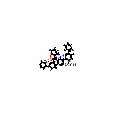 Cc1cc(B(O)O)c(-c2cccc3c2Nc2ccccc2C3(O)c2cccc3c2oc2ccccc23)cc1-c1ccccc1